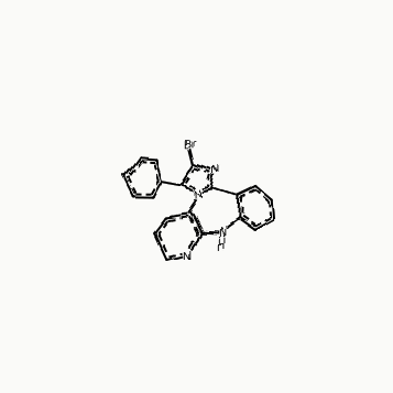 Brc1nc2n(c1-c1ccccc1)-c1cccnc1Nc1ccccc1-2